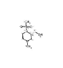 CN1CCN(S(C)(=O)=O)[C@H](CO)C1